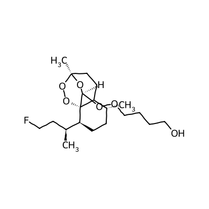 C[C@@H]1CC[C@@H]([C@@H](C)CCF)[C@]23OO[C@@](C)(CCC12)O[C@H]3OOCCCCO